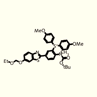 CCOCOc1ccc2nc(-c3ccc(N(C)C(=O)OC(C)(C)C)c([S+](c4ccc(OC)cc4)c4ccc(OC)cc4)c3)sc2c1